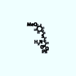 COc1ccc(CSC[C@@H](N)CC(=O)OC(C)C)cc1